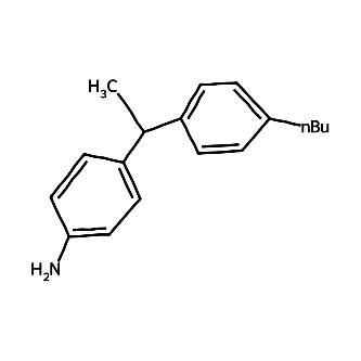 CCCCc1ccc(C(C)c2ccc(N)cc2)cc1